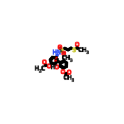 CC(=O)Oc1ccc(C)c2c1O[C@H]1[C@@H](OC(C)=O)C=CC3C(NS(=O)(=O)CCCSC(C)=O)=CC[C@@]231